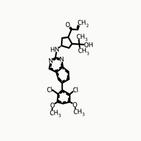 C=CC(=O)C1C[C@H](Nc2ncc3cc(-c4c(Cl)c(OC)cc(OC)c4Cl)ccc3n2)CC1C(C)(C)O